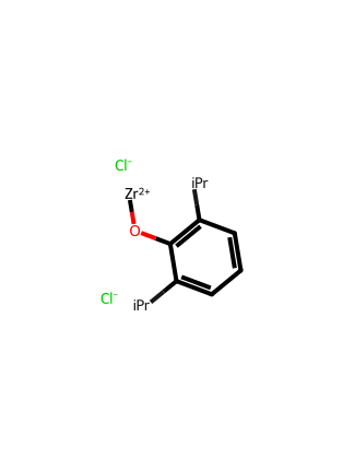 CC(C)c1cccc(C(C)C)c1[O][Zr+2].[Cl-].[Cl-]